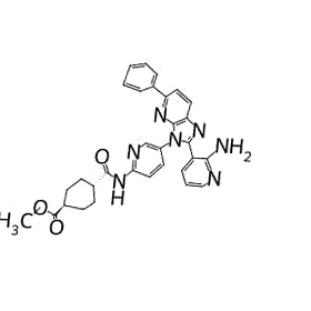 COC(=O)[C@H]1CC[C@H](C(=O)Nc2ccc(-n3c(-c4cccnc4N)nc4ccc(-c5ccccc5)nc43)cn2)CC1